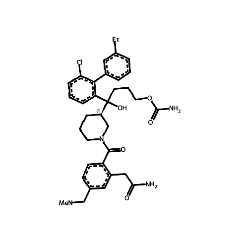 CCc1cccc(-c2c(Cl)cccc2C(O)(CCCOC(N)=O)[C@@H]2CCCN(C(=O)c3ccc(CNC)cc3CC(N)=O)C2)c1